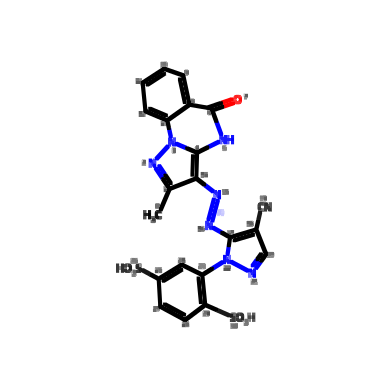 Cc1nn2c([nH]c(=O)c3ccccc32)c1/N=N/c1c(C#N)cnn1-c1cc(S(=O)(=O)O)ccc1S(=O)(=O)O